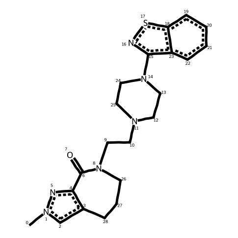 Cn1cc2c(n1)C(=O)N(CCN1CCN(c3nsc4ccccc34)CC1)CCC2